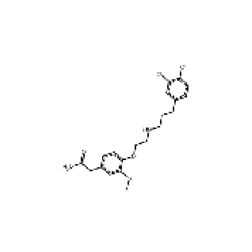 COc1cc(CC(N)=O)ccc1OCCNCCCc1ccc(Cl)c(Cl)c1